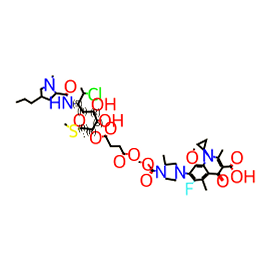 CCCC1CC(C(=O)N[C@H](C(C)Cl)[C@H]2O[C@](C)(SC)[C@H](OC(=O)CCC(=O)OCOC(=O)N3CCN(c4c(F)c(C)c5c(=O)c(C(=O)O)c(C)n(C6CC6)c5c4OC)CC3C)[C@@H](O)[C@H]2O)N(C)C1